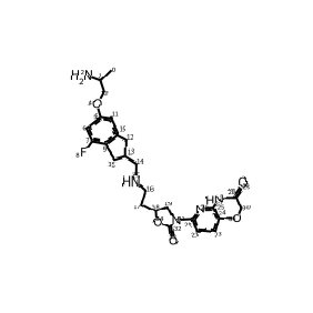 CC(N)COc1cc(F)c2c(c1)CC(CNCCC1CN(c3ccc4c(n3)NC(=O)CO4)C(=O)O1)C2